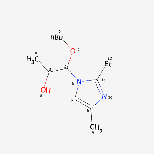 CCCCOC(C(C)O)n1cc(C)nc1CC